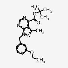 CCOc1cccc(Cn2nc(C)c3c(C(=O)OC(C)(C)C)ncnc32)c1